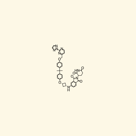 CC(C)(c1ccc(OCc2ccnc(-n3nccn3)n2)cc1)c1ccc(O[C@H]2C[C@@H](Nc3ccc4c(c3)C(=O)N(C3CCC(=O)NC3=O)C4=O)C2)cc1